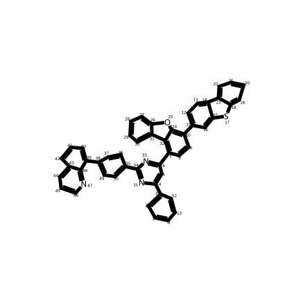 c1ccc(-c2cc(-c3ccc(-c4ccc5c(c4)sc4ccccc45)c4oc5ccccc5c34)nc(-c3ccc(-c4cccc5cccnc45)cc3)n2)cc1